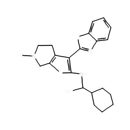 CC(C)N1CCc2c(sc(NC(O)C3CCCCC3)c2-c2nc3ccccc3s2)C1